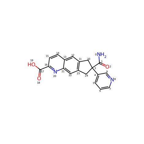 NC(=O)C1(c2cccnc2)Cc2cc3ccc(C(=O)O)nc3cc2C1